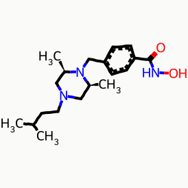 CC(C)CCN1C[C@@H](C)N(Cc2ccc(C(=O)NO)cc2)[C@@H](C)C1